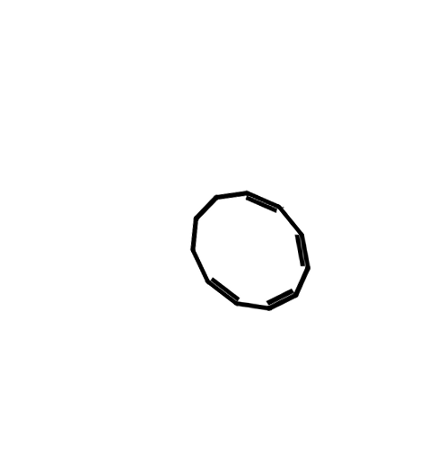 [C]1=CCCCC=CC=CC=C1